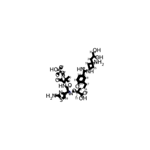 CC1(C)[C@H](NC(=O)/C(=N\O[C@](C)(C(=O)O)[C@H]2CCc3cc(C(=N)N[C@H]4C[C@](N)(CC(O)CO)C4)ccc3O2)c2csc(N)n2)C(=O)N1OS(=O)(=O)O